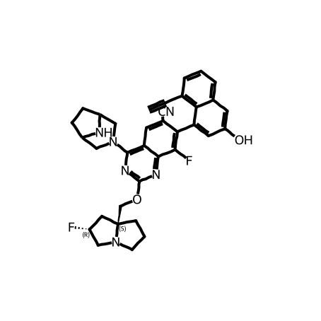 C#Cc1cccc2cc(O)cc(-c3c(C#N)cc4c(N5CC6CCC(C5)N6)nc(OC[C@@]56CCCN5C[C@H](F)C6)nc4c3F)c12